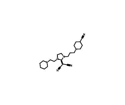 N#CC(C#N)=C1N(CCCN2CCC(C#N)CC2)CCN1CCN1CCCCC1